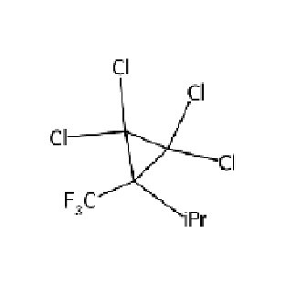 CC(C)C1(C(F)(F)F)C(Cl)(Cl)C1(Cl)Cl